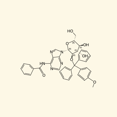 COc1ccc(C(O[C@@H]2[C@@H](O)[C@H](O)[C@@H](CO)O[C@H]2n2cnc3c(NC(=O)c4ccccc4)ncnc32)(c2ccccc2)c2ccccc2)cc1